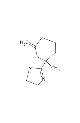 C=C1CCCC(C)(C2=NCCS2)C1